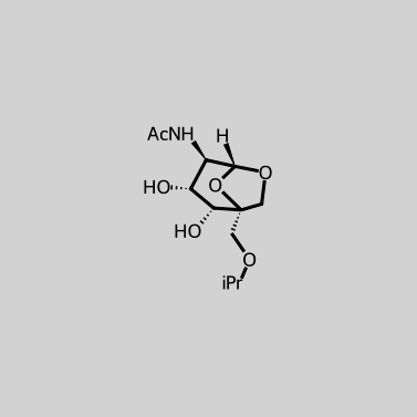 CC(=O)N[C@H]1[C@@H]2OC[C@](COC(C)C)(O2)[C@H](O)[C@@H]1O